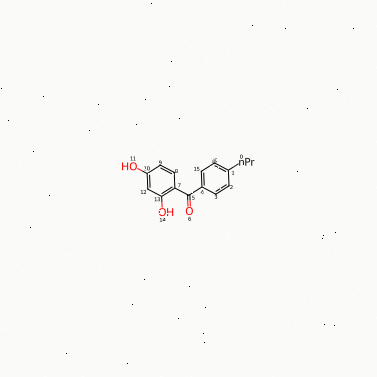 CCCc1ccc(C(=O)c2ccc(O)cc2O)cc1